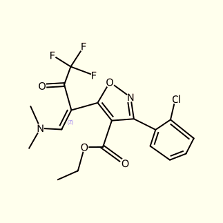 CCOC(=O)c1c(-c2ccccc2Cl)noc1/C(=C/N(C)C)C(=O)C(F)(F)F